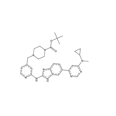 CN(c1cc(-c2ccc3nc(Nc4cc(CN5CCN(C(=O)OC(C)(C)C)CC5)ccn4)[nH]c3c2)ncn1)C1CC1